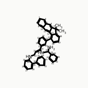 CC1(C)c2cc3ccccc3cc2-c2c(-c3cccc(/C(=C/CNc4ccccc4-c4ccccc4)NC(N)c4ccccc4)c3)cccc21